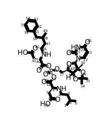 CC(C)CCN[C@@H](CC(=O)O)C(=O)OP(=O)(OC[C@H]1O[C@@H](n2ccc(=O)[nH]c2=O)[C@]2(C)OC(C)(C)O[C@H]12)OC(=O)[C@H](CC(=O)O)NCCC(C)Cc1ccccc1